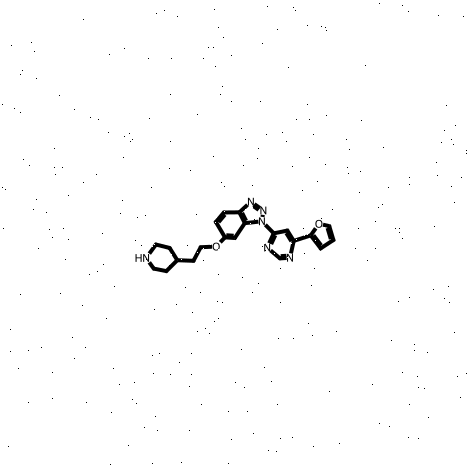 c1coc(-c2cc(-n3nnc4ccc(OCCC5CCNCC5)cc43)ncn2)c1